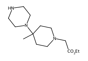 CCOC(=O)CN1CCC(C)(N2CCNCC2)CC1